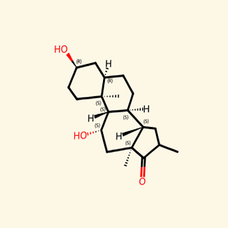 CC1C[C@H]2[C@@H]3CC[C@@H]4C[C@H](O)CC[C@]4(C)[C@H]3[C@@H](O)C[C@]2(C)C1=O